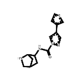 O=C(NC1CC2CNC1C2)n1cc(-c2ccsc2)cn1